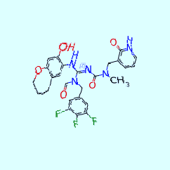 CN(Cc1ccc[nH]c1=O)C(=O)/N=C(/Nc1cc2c(cc1O)OCCC2)N(C=O)Cc1cc(F)c(F)c(F)c1